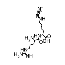 [N-]=[N+]=NNCCCC[C@H](NC(=O)[C@@H](N)CCCNC(=N)N)C(=O)O